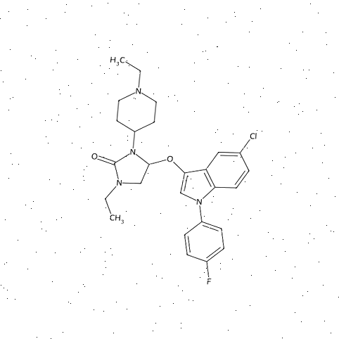 CCN1CCC(N2C(=O)N(CC)CC2Oc2cn(-c3ccc(F)cc3)c3ccc(Cl)cc23)CC1